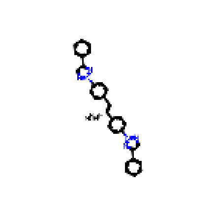 C(=Cc1ccc(-n2ncc(-c3ccccc3)n2)cc1)c1ccc(-n2ncc(-c3ccccc3)n2)cc1.[NaH].[NaH]